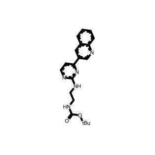 CC(C)(C)OC(=O)NCCNc1nccc(-c2cnc3ccccc3c2)n1